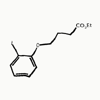 CCOC(=O)CCCOc1ccccc1I